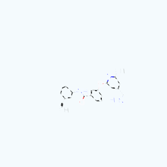 C#Cc1cccc(NC(=O)c2cccc(Oc3cc(CN)cc(C)n3)c2)c1